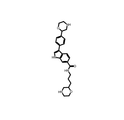 O=C(NCCCC1CNCCO1)c1ccc2c(-c3ccc(C4CNCCO4)cc3)c[nH]c2c1